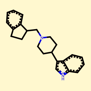 c1ccc2c(c1)CCC2CN1CCC(c2c[nH]c3ccccc23)CC1